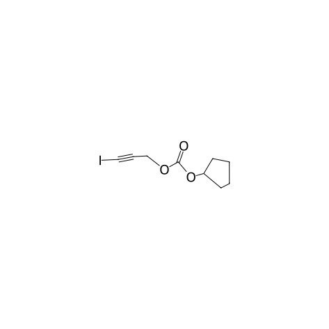 O=C(OCC#CI)OC1CCCC1